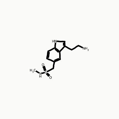 CNS(=O)(=O)Cc1ccc2[nH]cc(CCN)c2c1